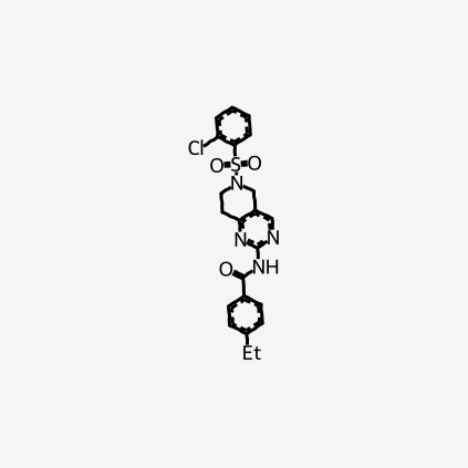 CCc1ccc(C(=O)Nc2ncc3c(n2)CCN(S(=O)(=O)c2ccccc2Cl)C3)cc1